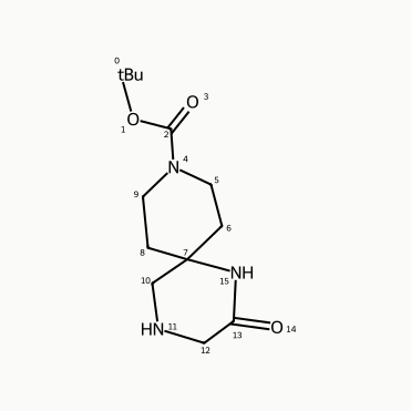 CC(C)(C)OC(=O)N1CCC2(CC1)CNCC(=O)N2